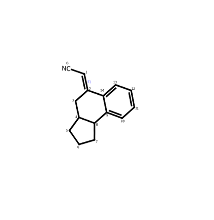 N#C/C=C1\CC2CCCC2c2ccccc21